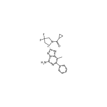 Cc1c(-c2ccccc2)nc(N)n2nc([C@@H]3CC(F)(F)CN3C(=O)C3CC3)nc12